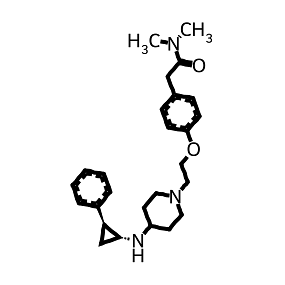 CN(C)C(=O)Cc1ccc(OCCN2CCC(N[C@@H]3C[C@H]3c3ccccc3)CC2)cc1